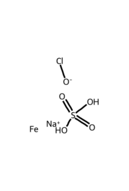 O=S(=O)(O)O.[Fe].[Na+].[O-]Cl